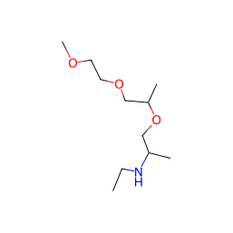 CCNC(C)COC(C)COCCOC